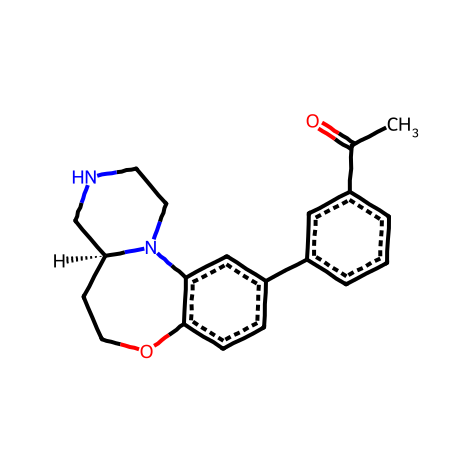 CC(=O)c1cccc(-c2ccc3c(c2)N2CCNC[C@@H]2CCO3)c1